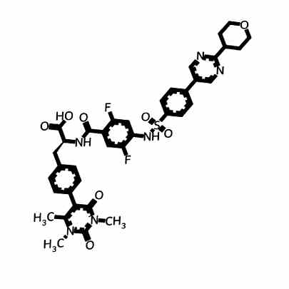 Cc1c(-c2ccc(C[C@H](NC(=O)c3cc(F)c(NS(=O)(=O)c4ccc(-c5cnc(C6CCOCC6)nc5)cc4)cc3F)C(=O)O)cc2)c(=O)n(C)c(=O)n1C